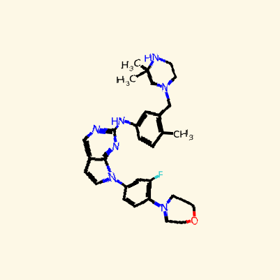 Cc1ccc(Nc2ncc3ccn(-c4ccc(N5CCOCC5)c(F)c4)c3n2)cc1CN1CCNC(C)(C)C1